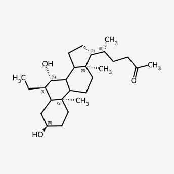 CC[C@@H]1C2C[C@H](O)CC[C@]2(C)C2CC[C@@]3(C)C(CC[C@@H]3[C@H](C)CCC(C)=O)C2[C@H]1O